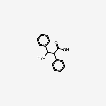 [CH2]C(c1ccccc1)C(C(=O)O)c1ccccc1